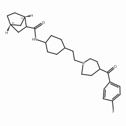 O=C(c1ccc(F)cc1)C1CCN(CCC2CCC(NC(=O)C3C[C@@H]4CC[C@H]3C4)CC2)CC1